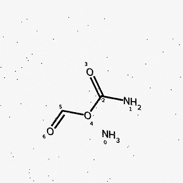 N.NC(=O)OC=O